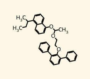 CCC(C)c1cccc2c(OC(C)OCCOc3c(-c4ccccc4)cccc3-c3ccccc3)cccc12